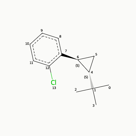 CC(C)(C)[C@H]1C[C@@H]1c1ccccc1Cl